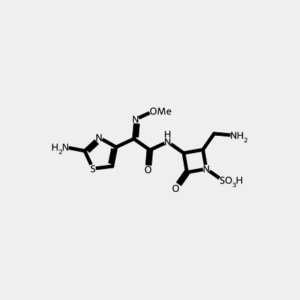 CON=C(C(=O)NC1C(=O)N(S(=O)(=O)O)C1CN)c1csc(N)n1